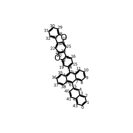 c1ccc2cc(-c3c4ccccc4c(-c4ccc5c(c4)oc4cc6c(cc45)oc4ccccc46)c4ccccc34)ccc2c1